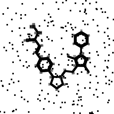 Cc1nn(-c2ccccc2)c(C)c1CCN1CCCC1c1ccc(C=CC(=O)NO)cc1